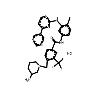 Cc1ccc(NC(=O)c2ccc(CN3CCCC(N)C3)c(C(F)(F)F)c2)cc1Nc1nccc(-c2cncnc2)n1.Cl